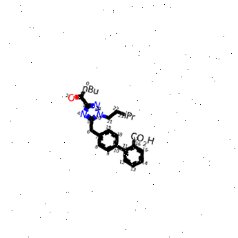 CCCCC(=O)c1nc(Cc2ccc(-c3ccccc3C(=O)O)cc2)n(CCC(C)C)n1